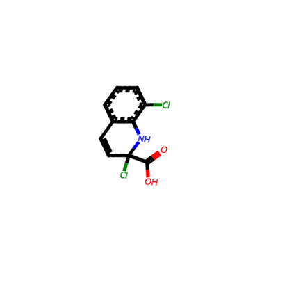 O=C(O)C1(Cl)C=Cc2cccc(Cl)c2N1